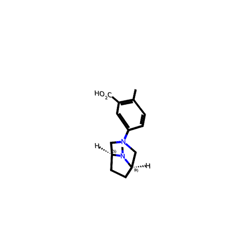 Cc1ccc(N2C[C@H]3CC[C@@H](C2)N3C)cc1C(=O)O